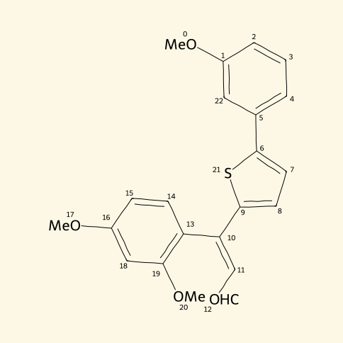 COc1cccc(-c2ccc(/C(=C/C=O)c3ccc(OC)cc3OC)s2)c1